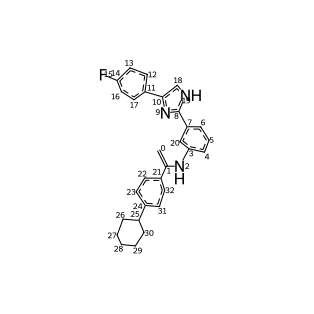 C=C(Nc1cccc(-c2nc(-c3ccc(F)cc3)c[nH]2)c1)c1ccc(C2CCCCC2)cc1